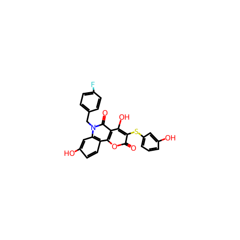 O=c1oc2c(c(O)c1Sc1cccc(O)c1)c(=O)n(Cc1ccc(F)cc1)c1cc(O)ccc21